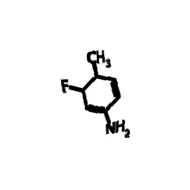 CC1C=CC(N)=CC1F